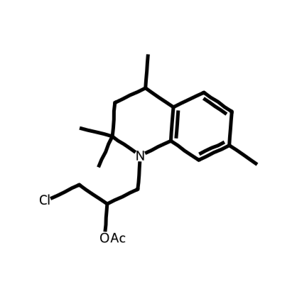 CC(=O)OC(CCl)CN1c2cc(C)ccc2C(C)CC1(C)C